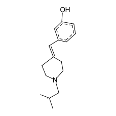 C[C](C)CN1CCC(=Cc2cccc(O)c2)CC1